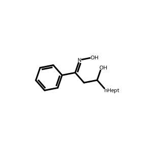 CCCCCCCC(O)CC(=NO)c1ccccc1